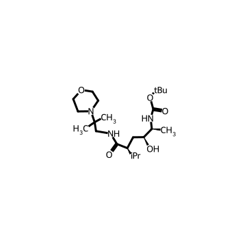 CC(C)[C@H](C[C@H](O)[C@H](C)NC(=O)OC(C)(C)C)C(=O)NCC(C)(C)N1CCOCC1